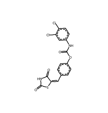 O=C(Nc1ccc(Cl)c(Cl)c1)Oc1ccc(C=C2SC(=O)NC2=O)cc1